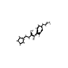 NCCc1ccc(NC(=O)CCN2CCCC2)cc1